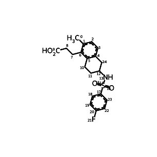 Cc1ccc2c(c1CCC(=O)O)CCC(NS(=O)(=O)c1ccc(F)cc1)C2